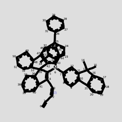 C=C/C=C\C1=C(N(c2ccc3c(c2)C(C)(C)c2ccccc2-3)c2ccc(-c3ccccc3)cc2C)C2(c3ccccc31)c1ccccc1-c1ccccc12